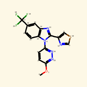 COc1ccc(-n2c(-c3cscn3)nc3cc(C(F)(F)F)ccc32)nn1